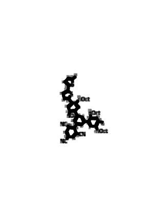 CCCCCCCCc1cc(-c2cc(-c3cc(CCCCCCCC)c(-c4ccc(-c5ccc(C)s5)s4)cc3CCCCCCCC)cc(-c3c(C#N)cc(C#N)cc3C#N)c2)c(CCCCCCCC)cc1C